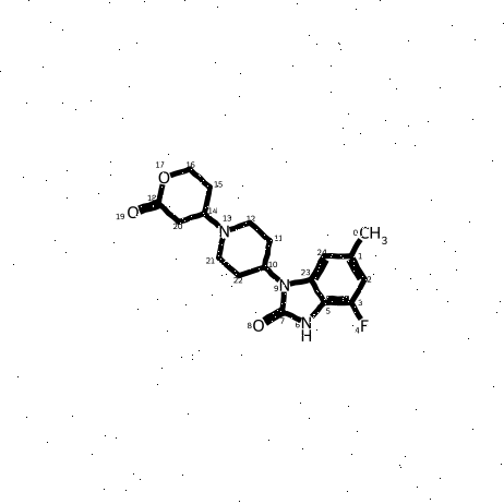 Cc1cc(F)c2[nH]c(=O)n(C3CCN(C4CCOC(=O)C4)CC3)c2c1